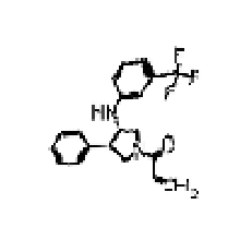 C=CC(=O)N1C[C@@H](Nc2cccc(C(F)(F)F)c2)[C@H](c2ccccc2)C1